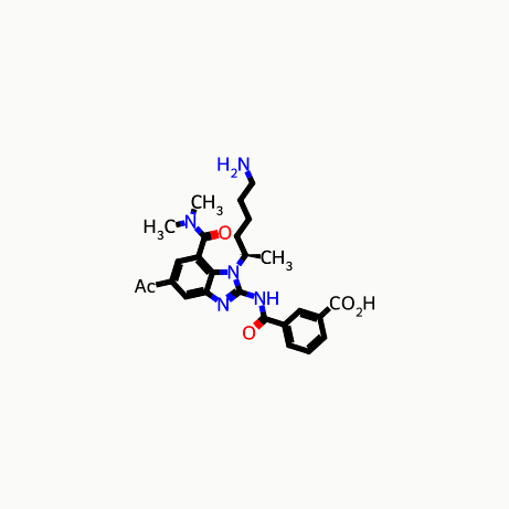 CC(=O)c1cc(C(=O)N(C)C)c2c(c1)nc(NC(=O)c1cccc(C(=O)O)c1)n2[C@H](C)CCCCN